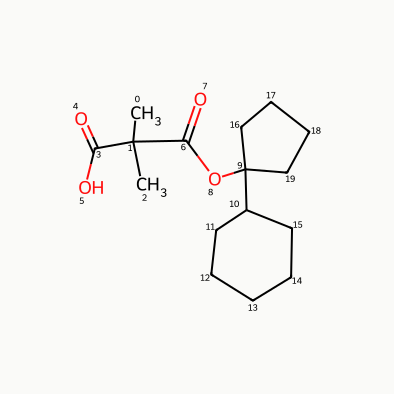 CC(C)(C(=O)O)C(=O)OC1(C2CCCCC2)CCCC1